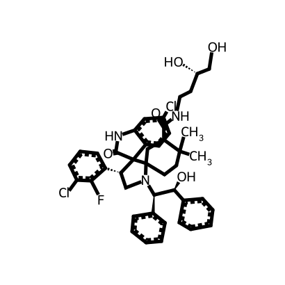 CC1(C)CCC2(CC1C(=O)NCC[C@H](O)CO)N([C@H](c1ccccc1)[C@@H](O)c1ccccc1)C[C@H](c1cccc(Cl)c1F)C21C(=O)Nc2cc(Cl)ccc21